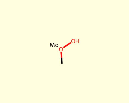 COO.[Mo]